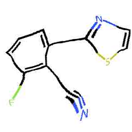 N#Cc1c(F)cccc1-c1nccs1